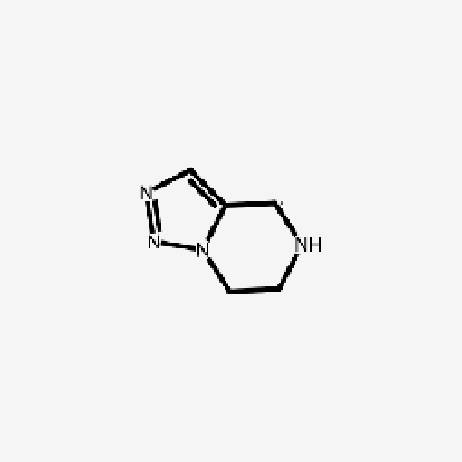 [CH]1NCCn2nncc21